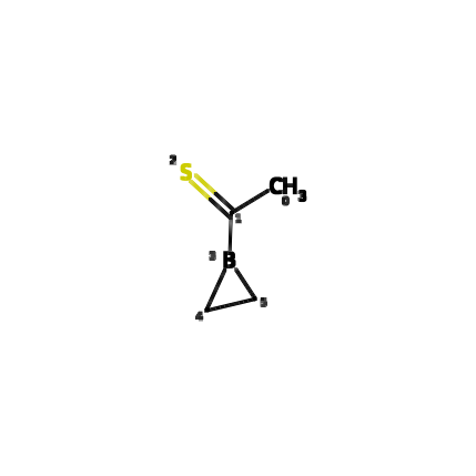 CC(=S)B1CC1